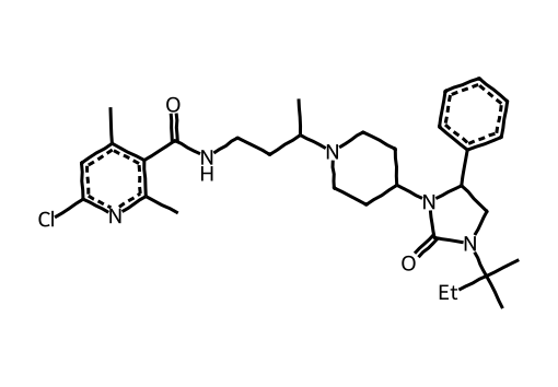 CCC(C)(C)N1CC(c2ccccc2)N(C2CCN(C(C)CCNC(=O)c3c(C)cc(Cl)nc3C)CC2)C1=O